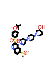 C[S+]([O-])c1ccc2ncc(S(=O)(=O)c3ccc(OC(C)(C)C)cc3)c(N3CCC(N4CCC(N5CCC[C@H](O)C5)CC4)CC3)c2c1